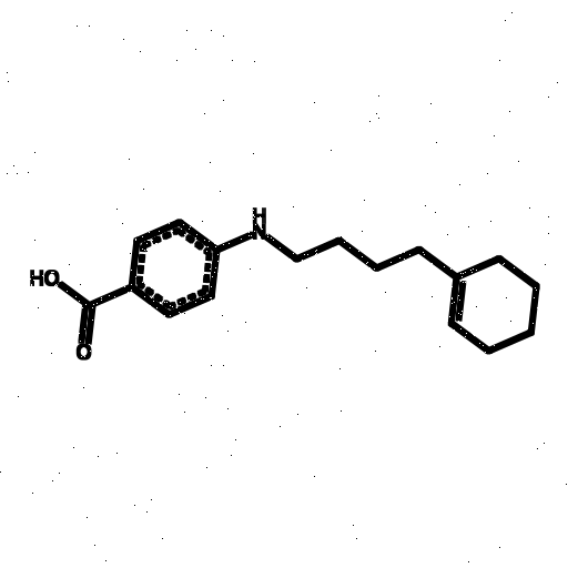 O=C(O)c1ccc(NCCCCC2=CCCCC2)cc1